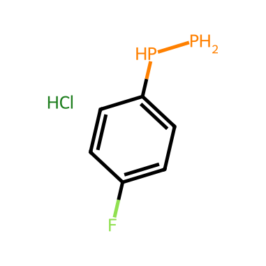 Cl.Fc1ccc(PP)cc1